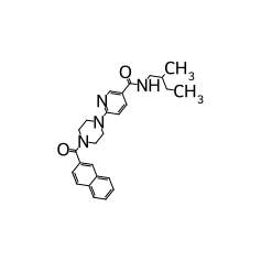 CCC(C)CNC(=O)c1ccc(N2CCN(C(=O)c3ccc4ccccc4c3)CC2)nc1